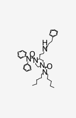 CCCCCN(CCCCC)C(=O)N1CCN(C(=O)N(c2ccccc2)c2ccccc2)[C@@H](CCNCCCc2ccccc2)C1